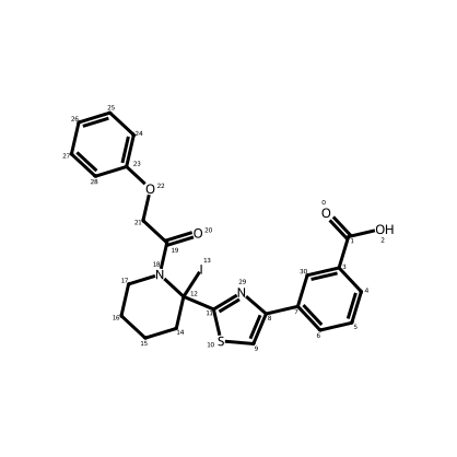 O=C(O)c1cccc(-c2csc(C3(I)CCCCN3C(=O)COc3ccccc3)n2)c1